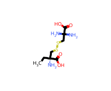 CC[C@@](N)(CSSCC(N)(N)C(=O)O)C(=O)O